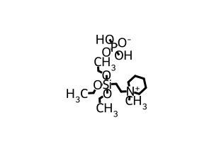 CCO[Si](CC[N+]1(C)CCCCC1)(OCC)OCC.O=P([O-])(O)O